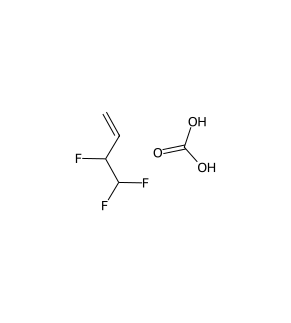 C=CC(F)C(F)F.O=C(O)O